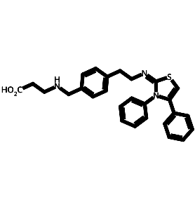 O=C(O)CCNCc1ccc(CCN=c2scc(-c3ccccc3)n2-c2ccccc2)cc1